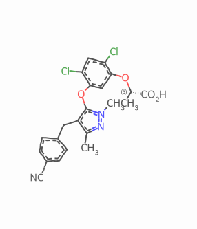 Cc1nn(C)c(Oc2cc(O[C@@H](C)C(=O)O)c(Cl)cc2Cl)c1Cc1ccc(C#N)cc1